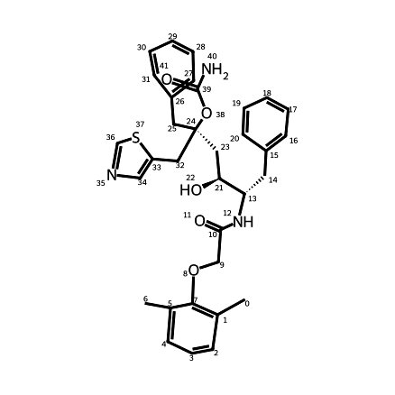 Cc1cccc(C)c1OCC(=O)N[C@@H](Cc1ccccc1)[C@@H](O)C[C@@](Cc1ccccc1)(Cc1cncs1)OC(N)=O